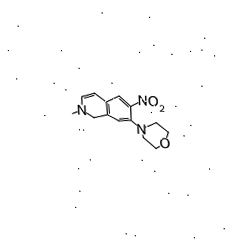 CN1C=Cc2cc([N+](=O)[O-])c(N3CCOCC3)cc2C1